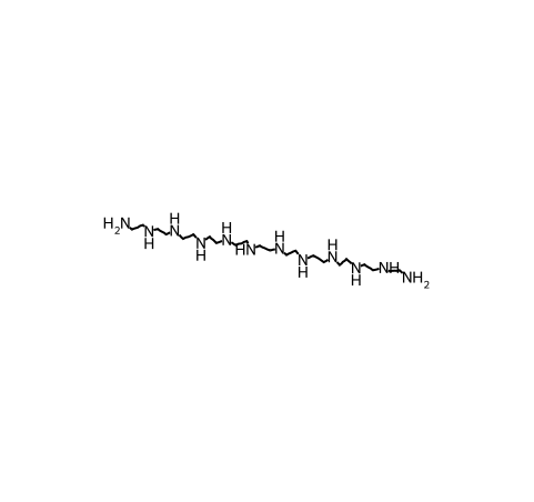 NCCNCCNCCNCCNCCNCCNCCNCCNCCNCCNCCN